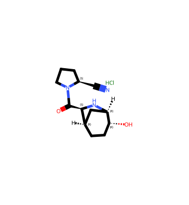 Cl.N#C[C@@H]1CCCN1C(=O)[C@H]1N[C@@H]2C[C@H]1CC[C@H]2O